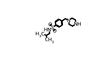 CC(C)CNS(=O)(=O)c1ccc(CN2CCNCC2)cc1